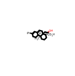 CC(C)C1=CC2=CCC3(CCO)[C@](C)(C(=O)O)CCC[C@]3(C)[C@H]2CC1